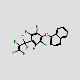 FC(F)=C(F)C(F)(F)c1c(F)c(F)c(Oc2cccc3ccccc23)c(F)c1F